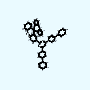 c1ccc(-c2ccc(-c3cc(-c4ccc(-c5ccccc5)cc4)nc(-c4ccc5c(c4)C4(c6ccccc6O5)c5ccccc5-c5ccccc54)n3)cc2)cc1